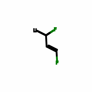 [Li][CH](F)C=CF